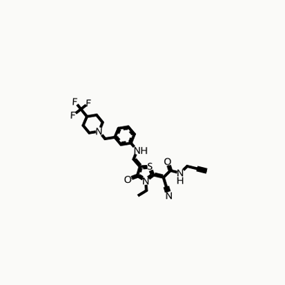 C#CCNC(=O)C(C#N)=c1sc(=CNc2cccc(CN3CCC(C(F)(F)F)CC3)c2)c(=O)n1CC